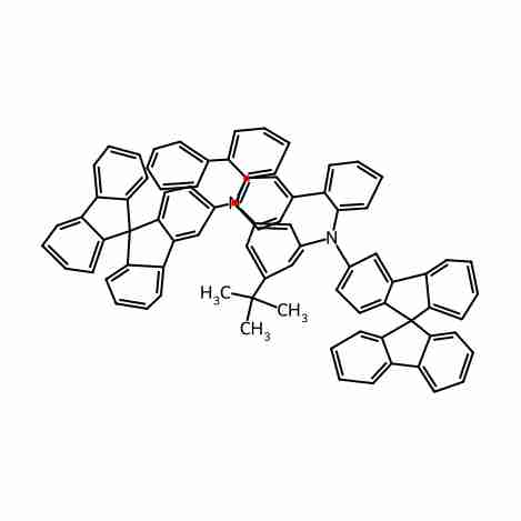 CC(C)(C)c1cc(N(c2ccc3c(c2)-c2ccccc2C32c3ccccc3-c3ccccc32)c2ccccc2-c2ccccc2)cc(N(c2ccc3c(c2)-c2ccccc2C32c3ccccc3-c3ccccc32)c2ccccc2-c2ccccc2)c1